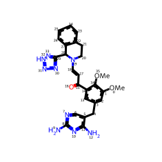 COc1cc(Cc2cnc(N)nc2N)cc(C(=O)/C=C/N2CCc3ccccc3C2c2nn[nH]n2)c1OC